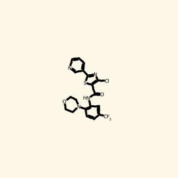 O=C(Nc1cc(C(F)(F)F)ccc1N1CCOCC1)c1sc(-c2cccnc2)nc1Cl